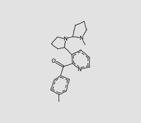 Cc1ccc(C(=O)c2ncccc2C2CCCN2C2CCCN2C)cc1